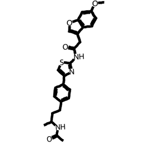 COc1ccc2c(CC(=O)Nc3nc(-c4ccc(CCC(C)NC(C)=O)cc4)cs3)coc2c1